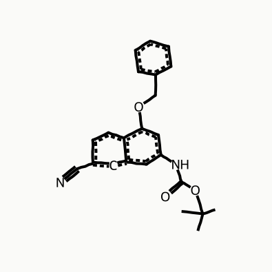 CC(C)(C)OC(=O)Nc1cc(OCc2ccccc2)c2ccc(C#N)cc2c1